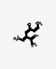 C\C=C/C(Cl)=C\C(=N/C)C(N)=O